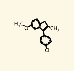 COc1ccc2c(c1)C(c1ccc(Cl)cc1)=C(C)C2